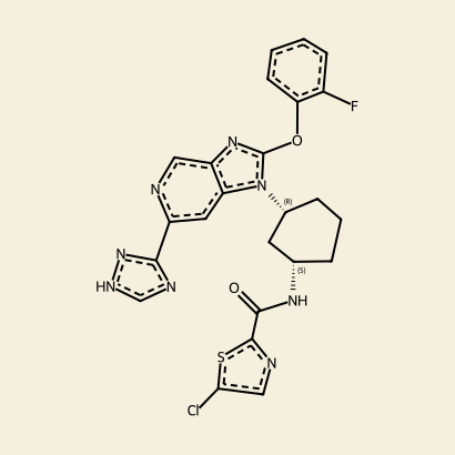 O=C(N[C@H]1CCC[C@@H](n2c(Oc3ccccc3F)nc3cnc(-c4nc[nH]n4)cc32)C1)c1ncc(Cl)s1